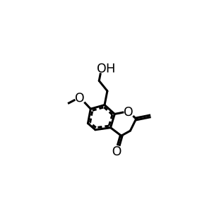 C=C1CC(=O)c2ccc(OC)c(CCO)c2O1